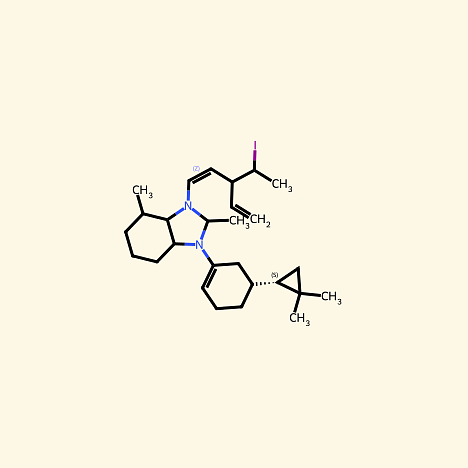 C=CC(/C=C\N1C2C(C)CCCC2N(C2=CCCC([C@@H]3CC3(C)C)C2)C1C)C(C)I